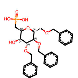 O=P(O)(O)C[C@H]1O[C@H](COCc2ccccc2)[C@@H](OCc2ccccc2)[C@H](OCc2ccccc2)[C@H]1O